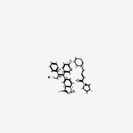 O=C(/C=C/CN1CCC[C@@H](Oc2ccc(/C(=C(/CC(F)(F)F)c3ccccc3)c3ccc4[nH]nc(F)c4c3)cn2)C1)N1CCCC1